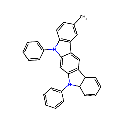 Cc1ccc2c(c1)c1cc3c(cc1n2-c1ccccc1)N(c1ccccc1)C1C=CC=CC31